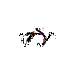 CCCCCCCCC(CCCCCC)C(=O)SCCCCCCN(CCCCCCO)CCCCCCSC(=O)C(CCCCCC)CCCCCCCC